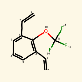 C=Cc1cccc(C=C)c1OC(F)(F)F